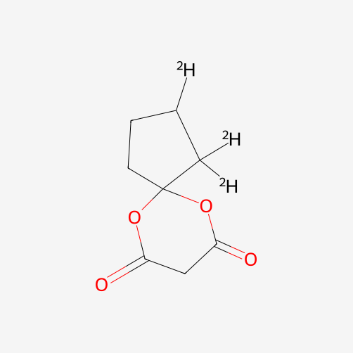 [2H]C1CCC2(OC(=O)CC(=O)O2)C1([2H])[2H]